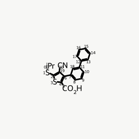 CC(C)Sc1sc(C(=O)O)c(-c2cccc(-c3ccccc3)c2)c1C#N